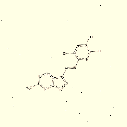 Cc1ncc2c(/N=N/c3nc(Cl)c(O)cc3Cl)snc2n1